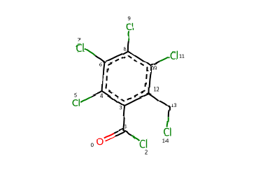 O=C(Cl)c1c(Cl)c(Cl)c(Cl)c(Cl)c1CCl